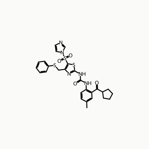 Cc1ccc(NC(=O)Nc2nc(CSc3ccccc3)c(S(=O)(=O)n3ccnc3)s2)c(C(=O)C2CCCC2)c1